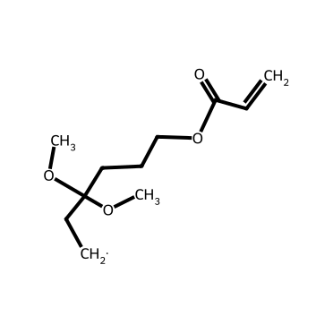 [CH2]CC(CCCOC(=O)C=C)(OC)OC